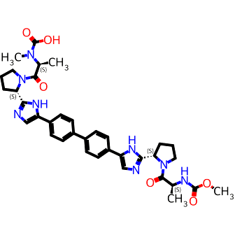 COC(=O)N[C@@H](C)C(=O)N1CCC[C@H]1c1ncc(-c2ccc(-c3ccc(-c4cnc([C@@H]5CCCN5C(=O)[C@H](C)N(C)C(=O)O)[nH]4)cc3)cc2)[nH]1